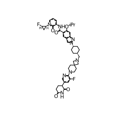 CC(C)Oc1cc2nn([C@H]3CC[C@H](CN4CC5(CCN(c6ncc(C7CCC(=O)NC7=O)cc6F)CC5)C4)CC3)cc2cc1C(=O)Nc1cccn([C@H]2C[C@H]2F)c1=O